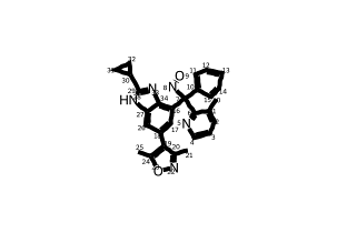 Cc1cccnc1C(N=O)(c1ccccc1)c1cc(-c2c(C)noc2C)cc2[nH]c(C3CC3)nc12